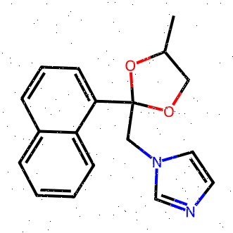 CC1COC(Cn2ccnc2)(c2cccc3ccccc23)O1